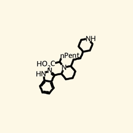 CCCCCC(C(=O)O)N1C(CCC2CCNCC2)CCCC1c1n[nH]c2ccccc12